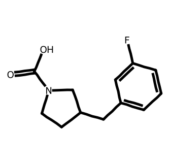 O=C(O)N1CCC(Cc2cccc(F)c2)C1